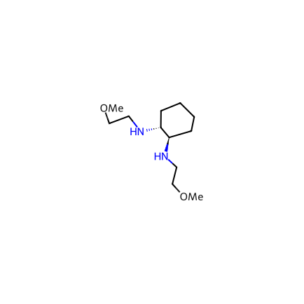 COCCN[C@@H]1CCCC[C@H]1NCCOC